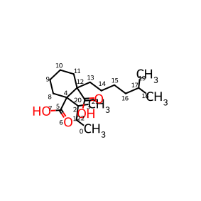 CCC(C)C1(C(=O)O)CCCCC1(CCCCC(C)C)C(=O)O